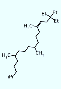 CCC(CC)(CC)CC=C(C)CCCC(C)CCCC(C)CCCC(C)C